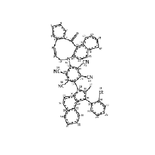 C=C1c2ccccc2/C=C\CN(c2c(C#N)c(C#N)c(-n3c(C)c(-c4ccccc4CC)c4c5ccccc5ccc43)c(C#N)c2C#N)c2ccc3ccccc3c21